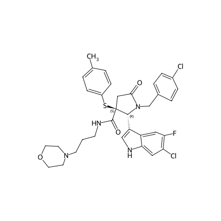 Cc1ccc(S[C@@]2(C(=O)NCCCN3CCOCC3)CC(=O)N(Cc3ccc(Cl)cc3)[C@@H]2c2c[nH]c3cc(Cl)c(F)cc23)cc1